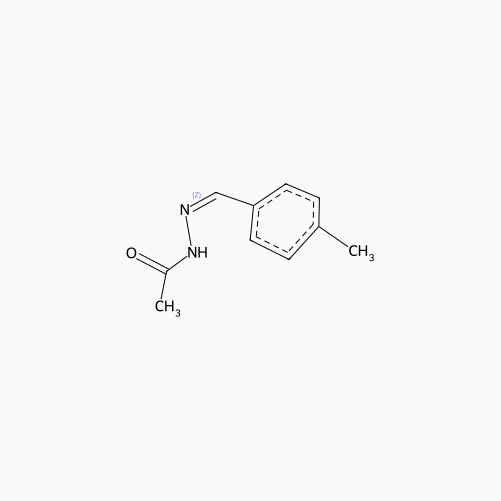 CC(=O)N/N=C\c1ccc(C)cc1